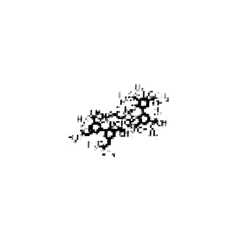 CC(C)Cc1cc(C(C)(C)C)c2op(O[C@H](C)C[C@@H](C)Op3oc4c(C(C)(C)C)cc(C(C)(C)C)cc4c4cc(C(C)(C)C)cc(C(C)(C)C)c4o3)oc3c(C(C)(C)C)cc(CC(C)C)cc3c2c1